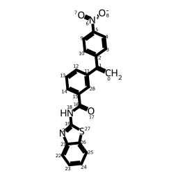 C=C(c1ccc([N+](=O)[O-])cc1)c1cccc(C(=O)Nc2nc3ccccc3s2)c1